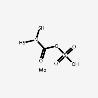 O=C(OS(=O)(=O)O)N(S)S.[Mo]